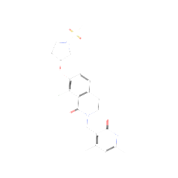 Cc1cc(C)c(CN2CCc3ccc(O[C@H]4CCN(S(C)(=O)=O)C4)c(Cl)c3C2=O)c(=O)[nH]1